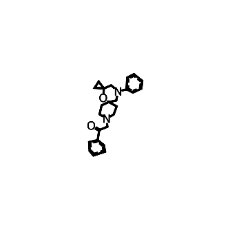 O=C(CN1CCC2(CC1)CN(c1ccccc1)CC1(CC1)O2)c1ccccc1